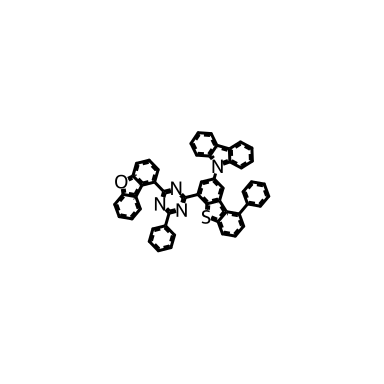 c1ccc(-c2nc(-c3cc(-n4c5ccccc5c5ccccc54)cc4c3sc3cccc(-c5ccccc5)c34)nc(-c3cccc4oc5ccccc5c34)n2)cc1